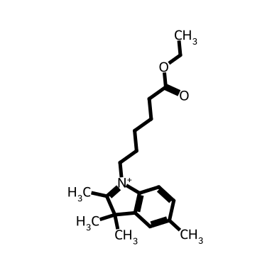 CCOC(=O)CCCCC[N+]1=C(C)C(C)(C)c2cc(C)ccc21